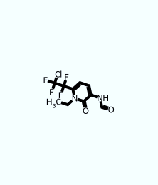 CCn1c(C(F)(F)C(F)(F)Cl)ccc(NC=O)c1=O